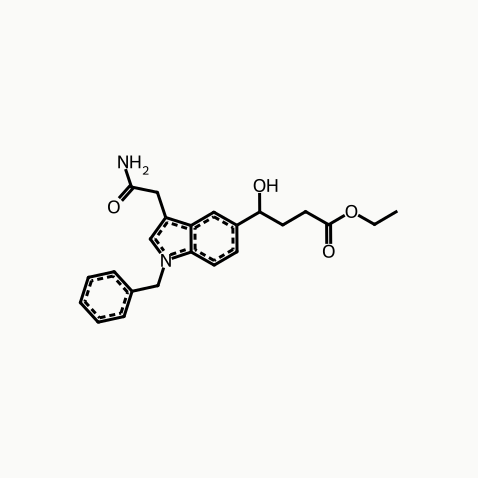 CCOC(=O)CCC(O)c1ccc2c(c1)c(CC(N)=O)cn2Cc1ccccc1